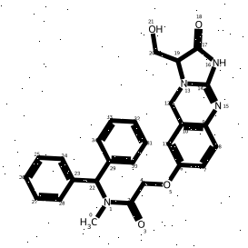 CN(C(=O)COc1ccc2c(c1)CN1C(=N2)NC(=O)C1CO)C(c1ccccc1)c1ccccc1